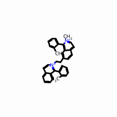 Cc1ccccc1-c1c2cc(CC[n+]3ccc4ccccc4c3-c3ccccc3C)ccc2cc[n+]1C